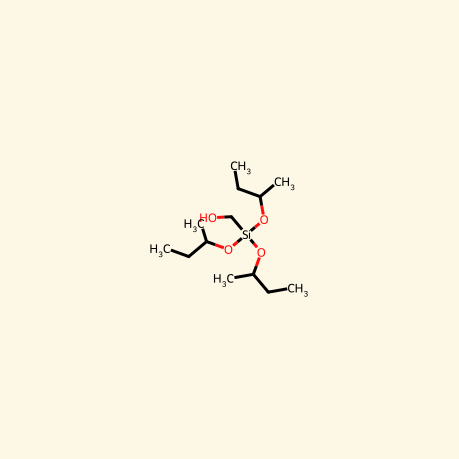 CCC(C)O[Si](CO)(OC(C)CC)OC(C)CC